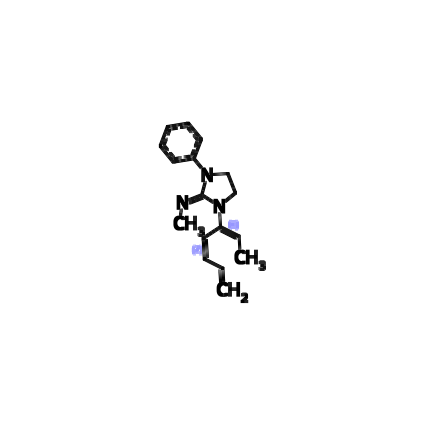 C=C/C=C\C(=C/C)N1CCN(c2ccccc2)C1=NC